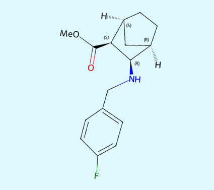 COC(=O)[C@H]1[C@H]2CC[C@H](C2)[C@H]1NCc1ccc(F)cc1